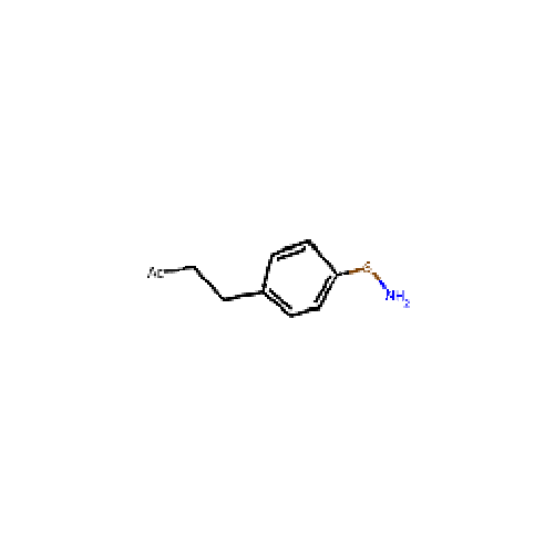 CC(=O)CCc1ccc(SN)cc1